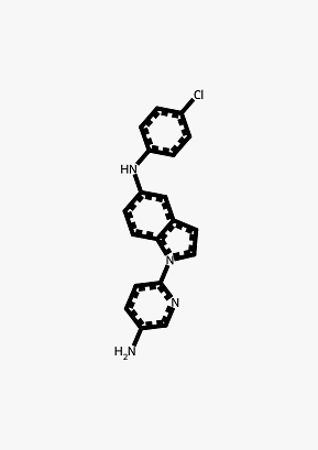 Nc1ccc(-n2ccc3cc(Nc4ccc(Cl)cc4)ccc32)nc1